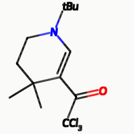 CC1(C)CCN(C(C)(C)C)C=C1C(=O)C(Cl)(Cl)Cl